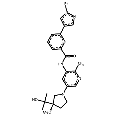 CCn1cc(-c2cccc(C(=O)Nc3cc(N4CC[C@](OC)(C(C)(C)O)C4)cnc3C(F)(F)F)n2)cn1